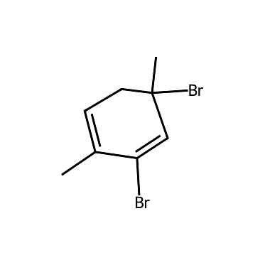 CC1=CCC(C)(Br)C=C1Br